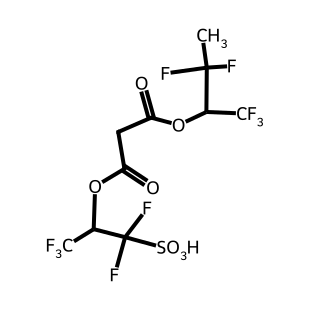 CC(F)(F)C(OC(=O)CC(=O)OC(C(F)(F)F)C(F)(F)S(=O)(=O)O)C(F)(F)F